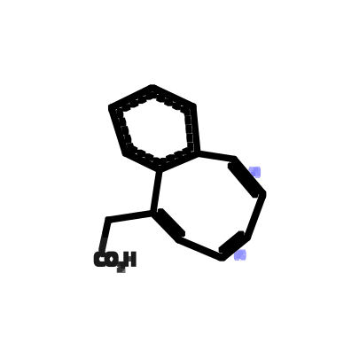 O=C(O)CC1=C/C=C\C=C/c2ccccc21